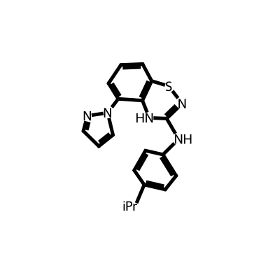 CC(C)c1ccc(NC2=NSc3cccc(-n4cccn4)c3N2)cc1